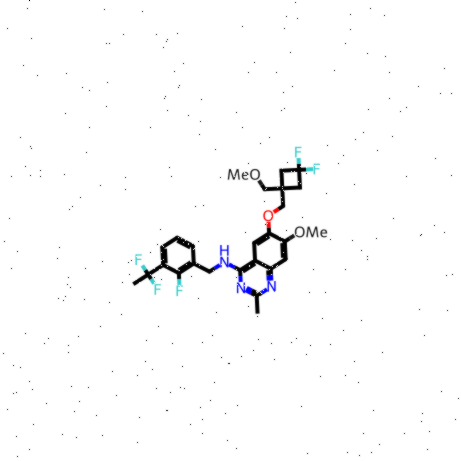 COCC1(COc2cc3c(NCc4cccc(C(C)(F)F)c4F)nc(C)nc3cc2OC)CC(F)(F)C1